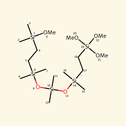 CO[Si](C)(C)CC[Si](C)(C)O[Si](C)(C)O[Si](C)(C)CC[Si](OC)(OC)OC